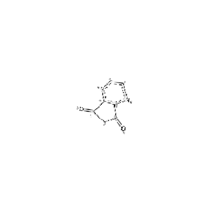 O=C1CC(=O)c2nccnc21